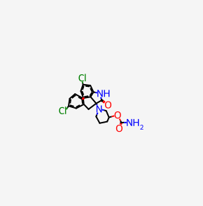 NC(=O)OC1CCCN(C2(Cc3cccc(Cl)c3)C(=O)Nc3cc(Cl)ccc32)C1